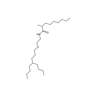 CCCCCCCC(C)C(=O)NCCOCCCC(CCCC)CCCC